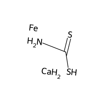 NC(=S)S.[CaH2].[Fe]